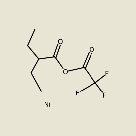 CCC(CC)C(=O)OC(=O)C(F)(F)F.[Ni]